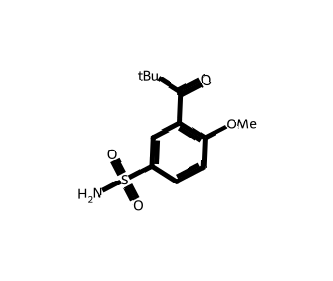 COc1ccc(S(N)(=O)=O)cc1C(=O)C(C)(C)C